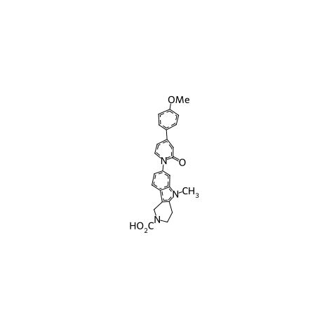 COc1ccc(-c2ccn(-c3ccc4c5c(n(C)c4c3)CCN(C(=O)O)C5)c(=O)c2)cc1